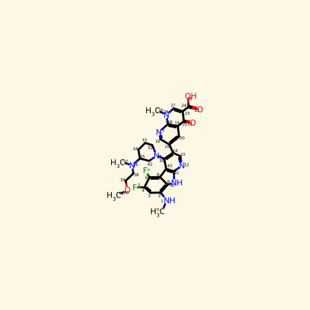 CNc1cc(F)c(F)c2c1[nH]c1ncc(-c3cnc4c(c3)c(=O)c(C(=O)O)cn4C)c(N3CCCC(N(C)CCOC)C3)c12